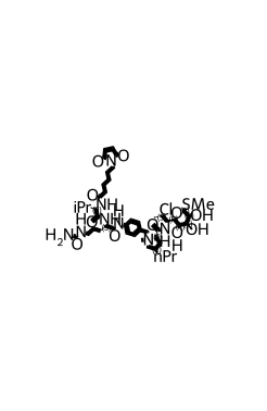 CCC[C@@H]1C[C@@H](C(=O)NC([C@H](C)Cl)[C@H]2O[C@H](SC)[C@H](O)[C@@H](O)[C@H]2O)[N+](C)(Cc2ccc(NC(=O)[C@H](CCCNC(N)=O)NC(=O)[C@@H](NC(=O)CCCCCN3C(=O)C=CC3=O)C(C)C)cc2)C1